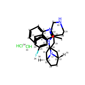 Cc1nc2ccccc2n1C1C[C@@H]2CC[C@@H](C1)N2CCC1(c2cccc(F)c2)CCNCC1.Cl.Cl